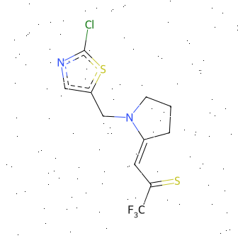 FC(F)(F)C(=S)/C=C1\CCCN1Cc1cnc(Cl)s1